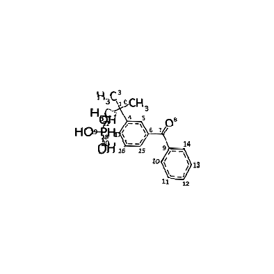 CC(C)(C)c1cc(C(=O)c2ccccc2)ccc1[PH](O)(O)O